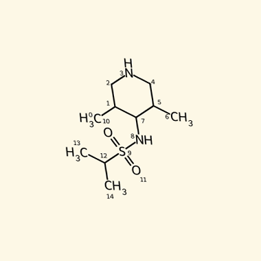 CC1CNCC(C)C1NS(=O)(=O)C(C)C